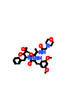 COc1cc(CC(NC(=O)C(C)NC(=O)CN2CCOCC2)C(=O)NC(Cc2ccccc2)C(=O)C2(C)CO2)cc(OC)c1